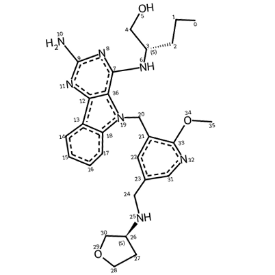 CCC[C@@H](CO)Nc1nc(N)nc2c3ccccc3n(Cc3cc(CN[C@H]4CCOC4)cnc3OC)c12